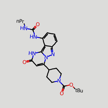 CCCNC(=O)Nc1cccc2nn3c(C4CCN(C(=O)OC(C)(C)C)CC4)cc(=O)[nH]c3c12